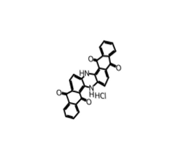 Cl.O=c1c2ccccc2c(=O)c2c1ccc1[nH]c3c(ccc4c(=O)c5ccccc5c(=O)c43)[nH]c12